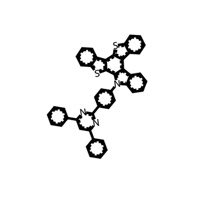 c1ccc(-c2cc(-c3ccccc3)nc(-c3ccc(-n4c5ccccc5c5c6c7ccccc7sc6c6c7ccccc7sc6c54)cc3)n2)cc1